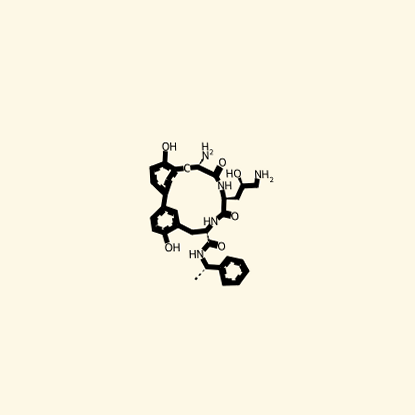 C[C@H](NC(=O)[C@@H]1Cc2cc(ccc2O)-c2ccc(O)c(c2)C[C@H](N)C(=O)N[C@@H](C[C@@H](O)CN)C(=O)N1)c1ccccc1